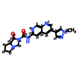 Cn1cc(-c2cnc3cnc(NC(=O)N4CN5CCCC5C4=O)cc3c2)cn1